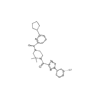 CC1(C)CN(C(=O)c2cccc(C3CCCC3)n2)CCN1C(=O)c1ncn(-c2cccc(Cl)c2)n1